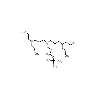 CCCN(CCC)CCCN(CCCN(CCC)CCC)CC[SiH2]OC(C)(C)C